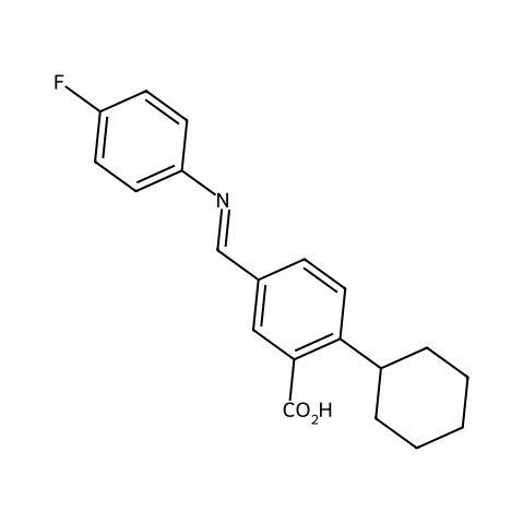 O=C(O)c1cc(C=Nc2ccc(F)cc2)ccc1C1CCCCC1